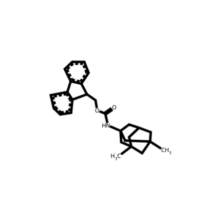 CC12CC3CC(C)(C1)CC(NC(=O)OCC1c4ccccc4-c4ccccc41)(C3)C2